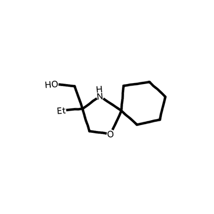 CCC1(CO)COC2(CCCCC2)N1